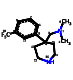 CN(C)CC1(c2cccc(C(F)(F)F)c2)CCNCC1